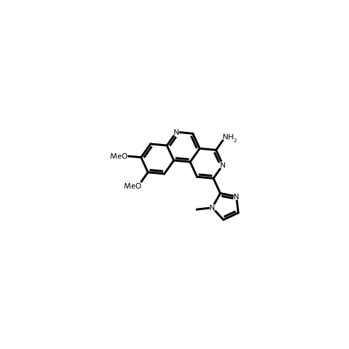 COc1cc2ncc3c(N)nc(-c4nccn4C)cc3c2cc1OC